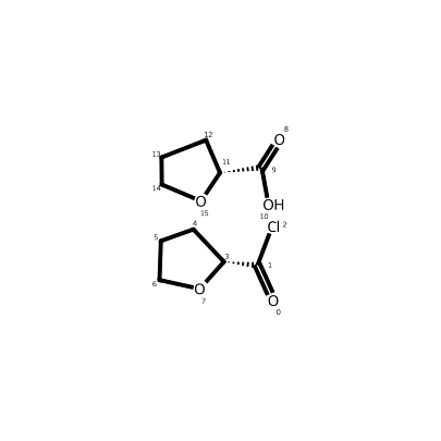 O=C(Cl)[C@H]1CCCO1.O=C(O)[C@H]1CCCO1